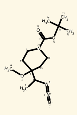 COC1(C(C)N=[N+]=[N-])CCN(C(=O)OC(C)(C)C)CC1